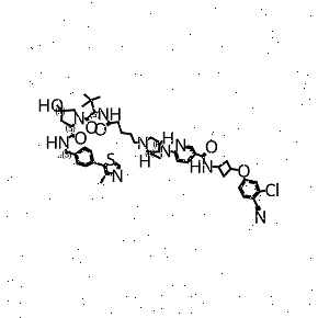 Cc1ncsc1-c1ccc([C@H](C)NC(=O)[C@@H]2C[C@@H](O)CN2C(=O)[C@@H](NC(=O)CCCCN2C[C@H]3C[C@@H]2CN3c2ccc(C(=O)NC3CC(Oc4ccc(C#N)c(Cl)c4)C3)cn2)C(C)(C)C)cc1